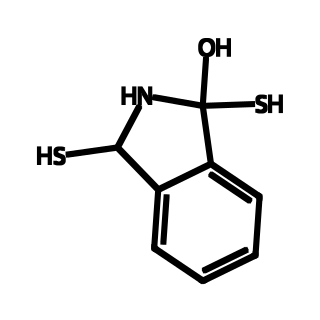 OC1(S)NC(S)c2ccccc21